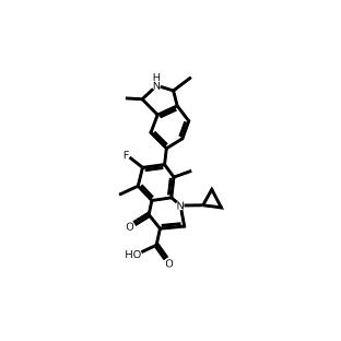 Cc1c(F)c(-c2ccc3c(c2)C(C)NC3C)c(C)c2c1c(=O)c(C(=O)O)cn2C1CC1